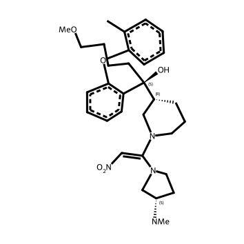 CN[C@H]1CCN(C(=C[N+](=O)[O-])N2CCC[C@@H]([C@@](O)(CCCCOC)c3ccccc3Oc3ccccc3C)C2)C1